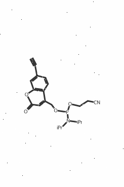 C#Cc1ccc2c(COP(OCCC#N)N(C(C)C)C(C)C)cc(=O)oc2c1